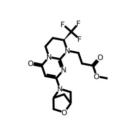 COC(=O)CCN1c2nc(N3CC4CC3CO4)cc(=O)n2CC[C@H]1C(F)(F)F